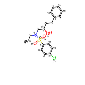 CC(C)CN(C[C@H](O)[CH]Cc1ccccc1)S(=O)(=O)c1ccc(Cl)cc1